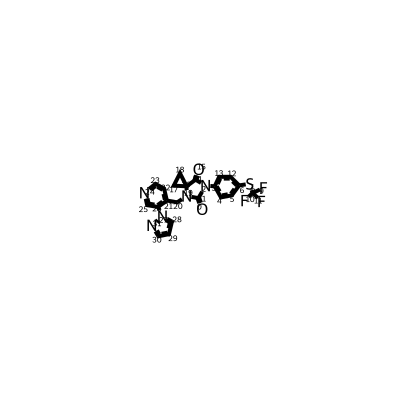 O=C1N(c2ccc(SC(F)(F)F)cc2)C(=O)C2(CC2)N1Cc1ccncc1-n1cccn1